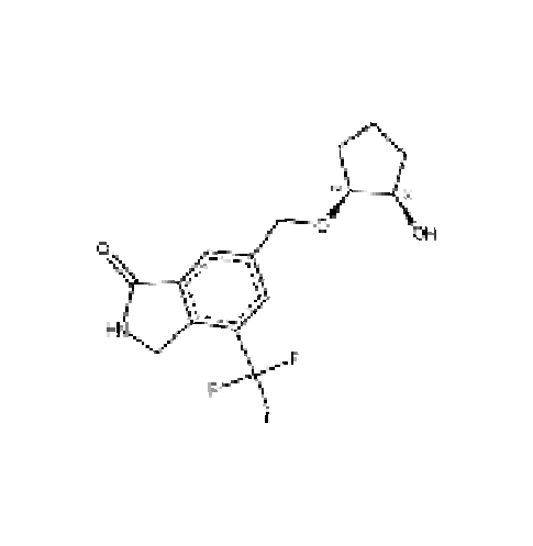 O=C1NCc2c1cc(CO[C@H]1CCC[C@H]1O)cc2C(F)(F)F